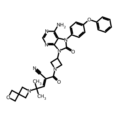 CC(C)(C=C(C#N)C(=O)N1CC(n2c(=O)n(-c3ccc(Oc4ccccc4)cc3)c3c(N)ncnc32)C1)N1CC2(COC2)C1